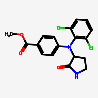 COC(=O)c1ccc(N(c2c(Cl)cccc2Cl)C2CCNC2=O)cc1